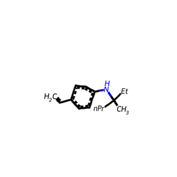 C=Cc1ccc(NC(C)(CC)CCC)cc1